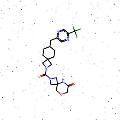 O=C1COCC2(CN(C(=O)N3CC4(CCC(Cc5cnc(C(F)(F)F)cn5)CC4)C3)C2)N1